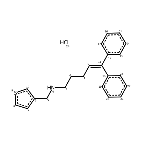 C(CCCNCc1ccsc1)=C(c1ccccc1)c1ccccc1.Cl